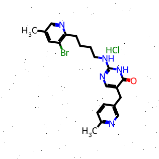 Cc1cnc(CCCCNc2ncc(Cc3ccc(C)nc3)c(=O)[nH]2)c(Br)c1.Cl